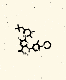 C=C(C[C@@H](C)C(C)Nc1nc(Nc2cnc(N3CCCCC3)c(C)c2)c(C(=C)N)cc1F)CC(C)(C)C